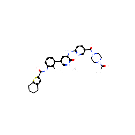 CC(=O)N1CCN(C(=O)c2ccc(Nc3cc(-c4cccc(NC(=O)c5cc6c(s5)CCCC6)c4C)cn(C)c3=O)nc2)CC1